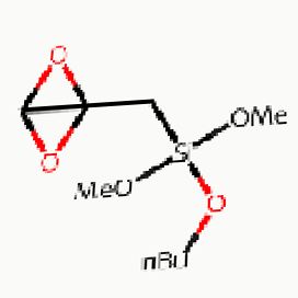 CCCCO[Si](CC12OC1O2)(OC)OC